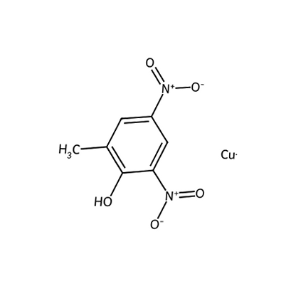 Cc1cc([N+](=O)[O-])cc([N+](=O)[O-])c1O.[Cu]